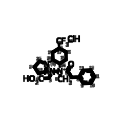 C[N+](NCC(=O)O)(C(=O)Cc1ccccc1)[C@H]1CC[C@H](C(F)(F)F)C[C@H]1N1CCCC1.Cl